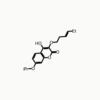 CC/C=C/CCOc1c(O)c2ccc(OC(C)C)cc2oc1=O